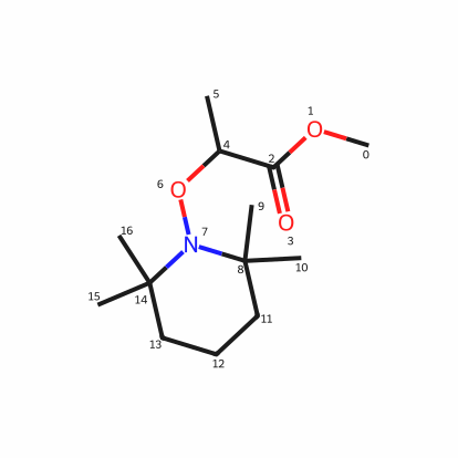 COC(=O)C(C)ON1C(C)(C)CCCC1(C)C